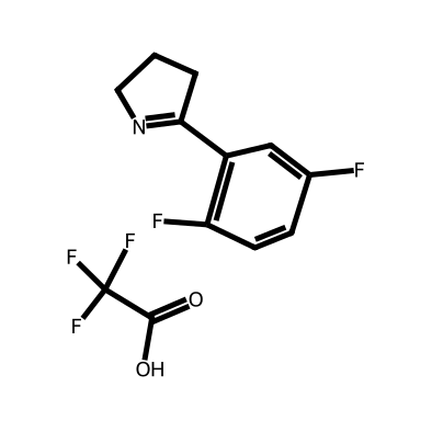 Fc1ccc(F)c(C2=NCCC2)c1.O=C(O)C(F)(F)F